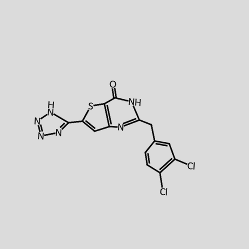 O=c1[nH]c(Cc2ccc(Cl)c(Cl)c2)nc2cc(-c3nnn[nH]3)sc12